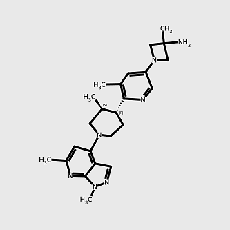 Cc1cc(N2CC[C@@H](c3ncc(N4CC(C)(N)C4)cc3C)[C@H](C)C2)c2cnn(C)c2n1